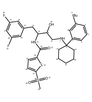 CC(C)(C)c1cccc(C2(NCC(O)C(Cc3cc(F)cc(F)c3)NC(=O)c3ccc(S(C)(=O)=O)s3)CCCCC2)c1